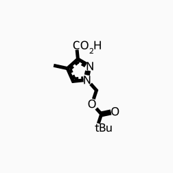 Cc1cn(COC(=O)C(C)(C)C)nc1C(=O)O